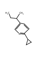 CCC(C)c1ccc(C2CC2)nc1